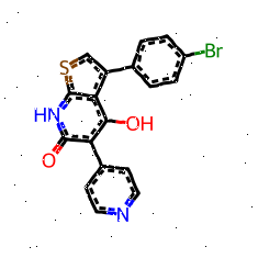 O=c1[nH]c2scc(-c3ccc(Br)cc3)c2c(O)c1-c1ccncc1